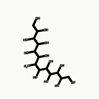 CC(C(O)C(O)C(O)C(O)C(O)CO)C(O)C(O)C(O)C(O)C(O)CO